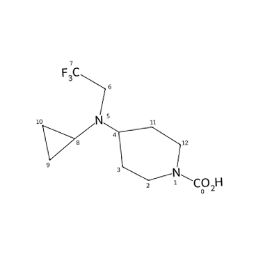 O=C(O)N1CCC(N(CC(F)(F)F)C2CC2)CC1